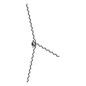 CCCCCCCCCCCCCCCCCCCN1C=CN(CCCCCCCCCCCCCCCCCC)C1CCCCCCCCCCCCC